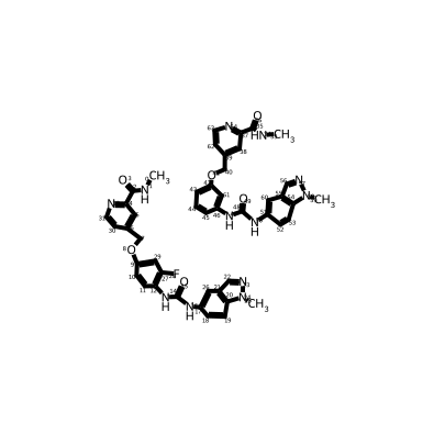 CNC(=O)c1cc(COc2ccc(NC(=O)Nc3ccc4c(cnn4C)c3)c(F)c2)ccn1.CNC(=O)c1cc(COc2cccc(NC(=O)Nc3ccc4c(cnn4C)c3)c2)ccn1